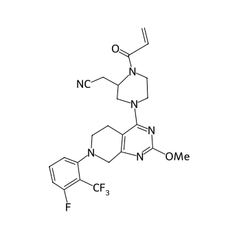 C=CC(=O)N1CCN(c2nc(OC)nc3c2CCN(c2cccc(F)c2C(F)(F)F)C3)CC1CC#N